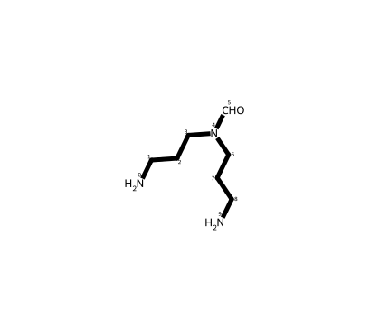 NCCCN(C=O)CCCN